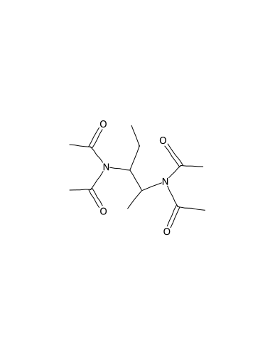 CCC(C(C)N(C(C)=O)C(C)=O)N(C(C)=O)C(C)=O